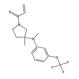 C=CC(=O)N1CCC(C)(N(C)c2cccc(OC(F)(F)F)c2)C1